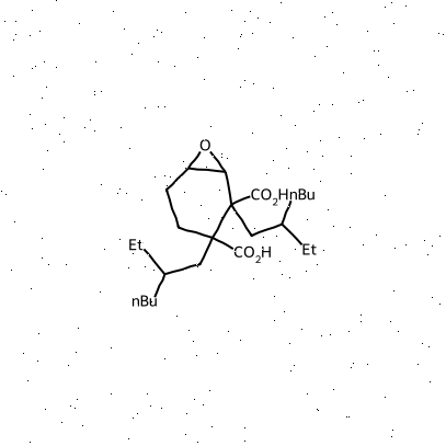 CCCCC(CC)CC1(C(=O)O)CCC2OC2C1(CC(CC)CCCC)C(=O)O